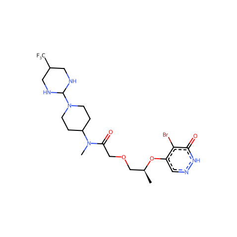 C[C@@H](COCC(=O)N(C)C1CCN(C2NCC(C(F)(F)F)CN2)CC1)Oc1cn[nH]c(=O)c1Br